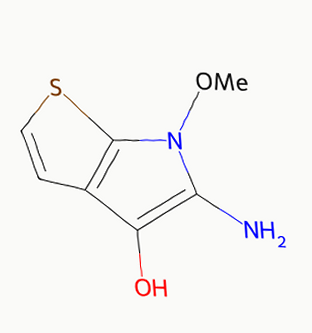 COn1c(N)c(O)c2ccsc21